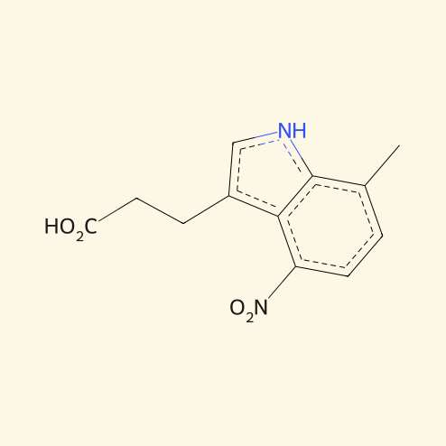 Cc1ccc([N+](=O)[O-])c2c(CCC(=O)O)c[nH]c12